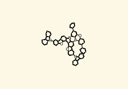 c1ccc(-c2ccc3c(c2)B2c4c(cc(-c5ccccc5)cc4-n4c5ccc6c7cc(-n8c9ccccc9c9ccccc98)ccc7oc6c5c5c6oc7ccc(-n8c9ccccc9c9ccccc98)cc7c6cc2c54)O3)cc1